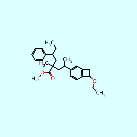 CCOC1Cc2cc(C(C)CC(C)(CC(CC)c3ccccc3)C(=O)OC)ccc21